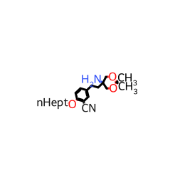 CCCCCCCOc1ccc(CCC2(N)COC(C)(C)OC2)cc1C#N